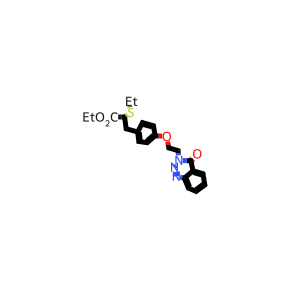 CCOC(=O)C(Cc1ccc(OCCn2nnc3ccccc3c2=O)cc1)SCC